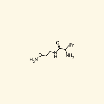 CC(C)C(N)C(=O)NCCON